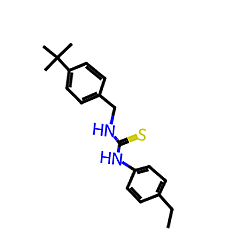 CCc1ccc(NC(=S)NCc2ccc(C(C)(C)C)cc2)cc1